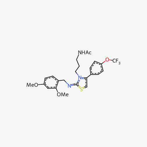 COc1ccc(C/N=c2/scc(-c3ccc(OC(F)(F)F)cc3)n2CCCNC(C)=O)c(OC)c1